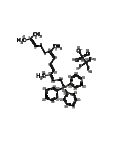 CC(C)=CCCC(C)=CC=CC(C)=CC[P+](c1ccccc1)(c1ccccc1)c1ccccc1.O=S(=O)([O-])C(F)(F)F